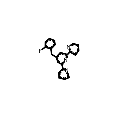 Fc1ccccc1Cc1cc(-c2ccccn2)nc(-c2ccccn2)c1